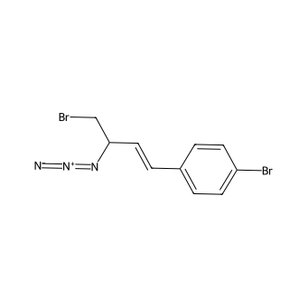 [N-]=[N+]=NC(/C=C/c1ccc(Br)cc1)CBr